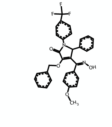 COc1ccc(C(=NO)C2=C(OCc3ccccc3)C(=O)N(c3ccc(C(F)(F)F)cc3)C2c2ccccc2)cc1